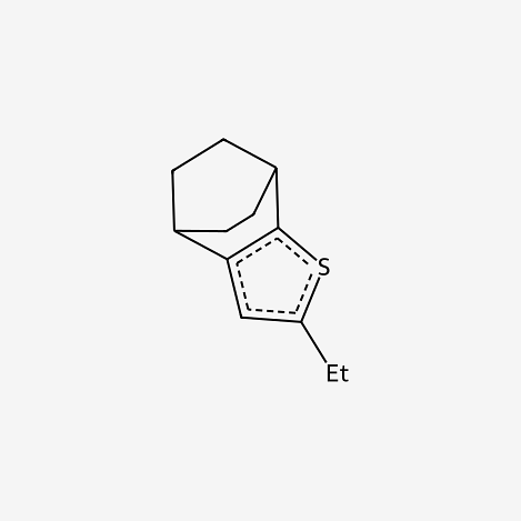 CCc1cc2c(s1)C1CCC2CC1